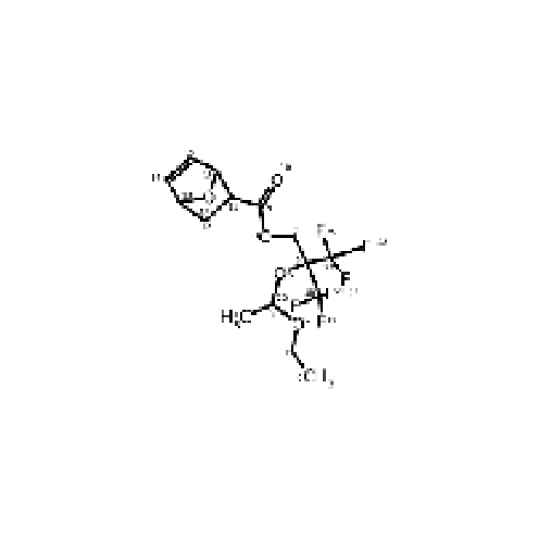 CCOC(C)OC(COC(=O)C1CC2C=CC1O2)(C(F)(F)F)C(F)(F)F